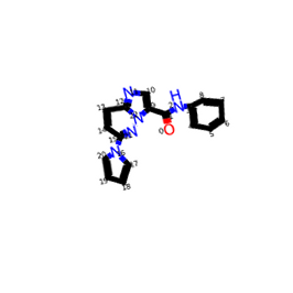 O=C(Nc1ccccc1)c1cnc2ccc(-n3cccc3)nn12